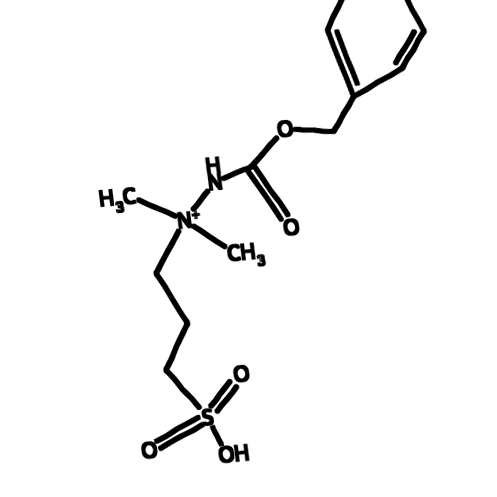 C[N+](C)(CCCS(=O)(=O)O)NC(=O)OCc1ccccc1